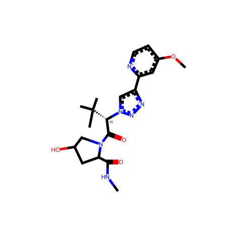 CNC(=O)C1CC(O)CN1C(=O)[C@@H](n1cc(-c2cc(OC)ccn2)nn1)C(C)(C)C